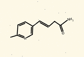 Cc1ccc(/C=C/CC(N)=O)cn1